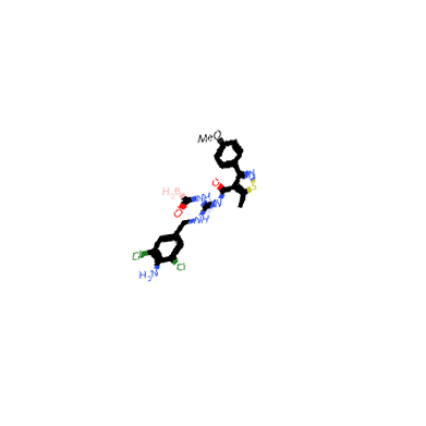 BC(=O)N/C(=N\C(=O)c1c(-c2ccc(OC)cc2)nsc1C)NCc1cc(Cl)c(N)c(Cl)c1